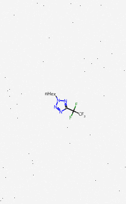 CCCCCCn1nnc(C(F)(F)C(F)(F)F)n1